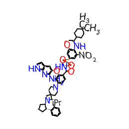 CC(C)c1ccccc1[C@@H]1CCCC1N1CC2(CCN(c3ccc(C(=O)NS(=O)(=O)c4cc5c(c([N+](=O)[O-])c4)NC(C4CCC(C)(C)CC4)CO5)c(Oc4cc5cc[nH]c5nc4N)c3)CC2)C1